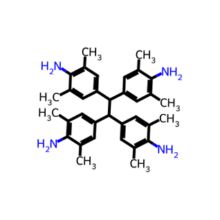 Cc1cc(C(c2cc(C)c(N)c(C)c2)C(c2cc(C)c(N)c(C)c2)c2cc(C)c(N)c(C)c2)cc(C)c1N